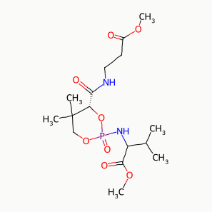 COC(=O)CCNC(=O)[C@@H]1OP(=O)(NC(C(=O)OC)C(C)C)OCC1(C)C